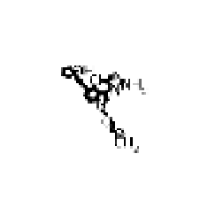 COCCOCCn1cc(-c2nc(N)ncc2Cl)c2cc(C#CC3(O)CCCC3)ccc21